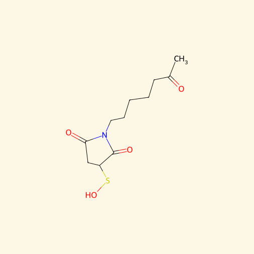 CC(=O)CCCCCN1C(=O)CC(SO)C1=O